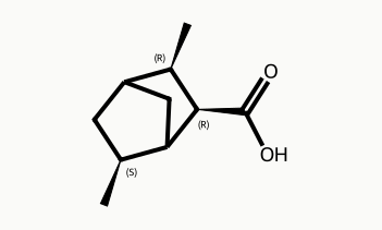 C[C@@H]1C2CC([C@@H](C)C2)[C@@H]1C(=O)O